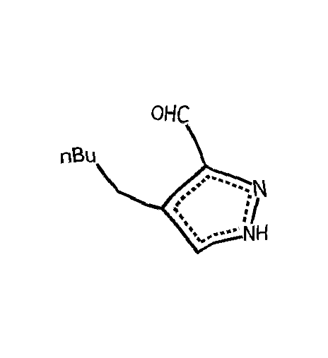 CCCCCc1c[nH]nc1C=O